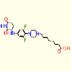 O=C(O)CCCCCCCN1CCN(c2c(F)cc(NC3CCC(=O)NC3=O)cc2F)CC1